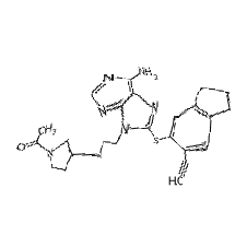 C#Cc1cc2c(cc1Sc1nc3c(N)ncnc3n1CCCC1CCN(C(C)=O)C1)CCC2